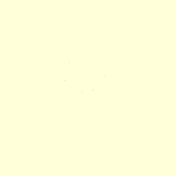 CCC(=O)N1CNCC2=C1[N+](=O)[N+]1(CC(C)C)C(=O)C(CC(C)C)N=C21